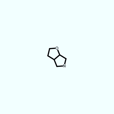 C1CC2C[N]CC2O1